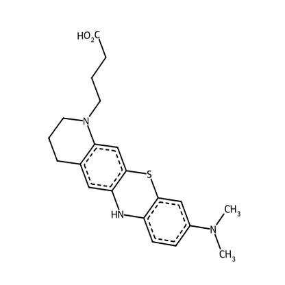 CN(C)c1ccc2c(c1)Sc1cc3c(cc1N2)CCCN3CCCC(=O)O